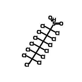 O=[SH](=O)C(Cl)(Cl)C(Cl)(Cl)C(Cl)(Cl)C(Cl)(Cl)C(Cl)(Cl)C(Cl)(Cl)Cl